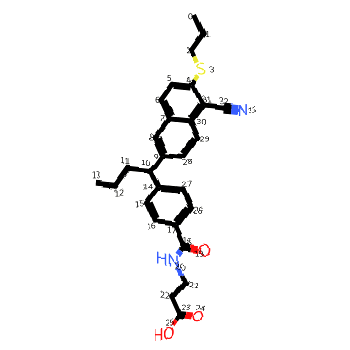 CCCSc1ccc2cc(C(CCC)c3ccc(C(=O)NCCC(=O)O)cc3)ccc2c1C#N